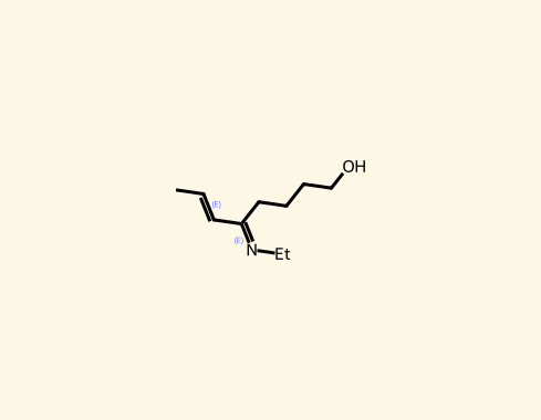 C/C=C/C(CCCCO)=N/CC